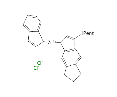 CCCC(C)C1=C[CH]([Zr+2][CH]2C=Cc3ccccc32)c2cc3c(cc21)CCC3.[Cl-].[Cl-]